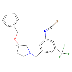 FC(F)(F)c1cc(CN2CC[C@H](OCc3ccccc3)C2)cc(N=C=S)c1